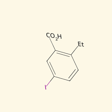 CCc1ccc(I)cc1C(=O)O